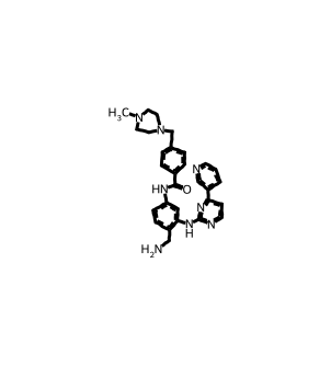 CN1CCN(Cc2ccc(C(=O)Nc3ccc(CN)c(Nc4nccc(-c5cccnc5)n4)c3)cc2)CC1